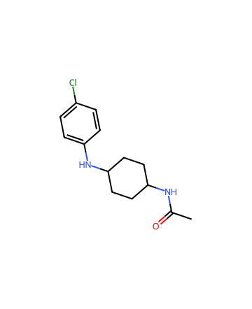 CC(=O)NC1CCC(Nc2ccc(Cl)cc2)CC1